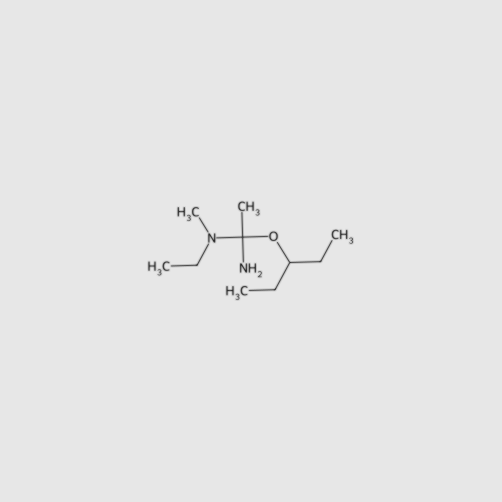 CCC(CC)OC(C)(N)N(C)CC